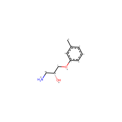 Cc1cccc(OC[C@H](O)CN)c1